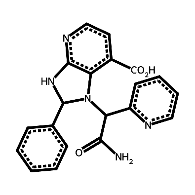 NC(=O)C(c1ccccn1)N1c2c(C(=O)O)ccnc2NC1c1ccccc1